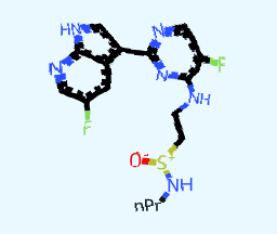 CCCN[S+]([O-])CCNc1nc(-c2c[nH]c3ncc(F)cc23)ncc1F